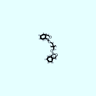 CC(C)(COB1OCc2ccccc21)COB1OCc2ccccc21